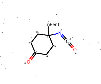 CCCCCC1(N=C=O)CCC(=O)CC1